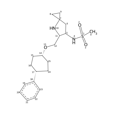 CS(=O)(=O)NC1CC2(CC2)NC1CO[C@H]1CC[C@@H](c2ccccc2)CC1